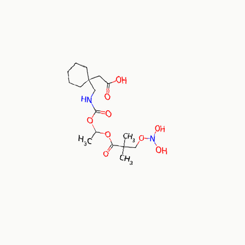 CC(OC(=O)NCC1(CC(=O)O)CCCCC1)OC(=O)C(C)(C)CON(O)O